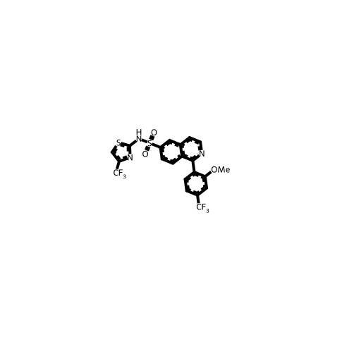 COc1cc(C(F)(F)F)ccc1-c1nccc2cc(S(=O)(=O)Nc3nc(C(F)(F)F)cs3)ccc12